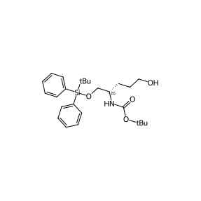 CC(C)(C)OC(=O)N[C@@H](CCCO)CO[Si](c1ccccc1)(c1ccccc1)C(C)(C)C